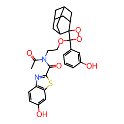 CC(=O)N(CCOC1(c2cccc(O)c2)OOC12C1CC3CC(C1)CC2C3)C(=O)c1nc2ccc(O)cc2s1